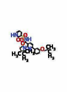 CC(C)COc1cccc(-c2ccc(C(=O)NS(=O)(=O)c3ccc[nH]c3=O)c(N3CCC(C)C3(C)C)n2)c1